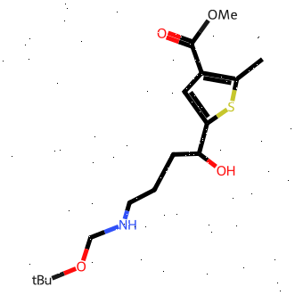 COC(=O)c1cc(C(O)CCCNCOC(C)(C)C)sc1C